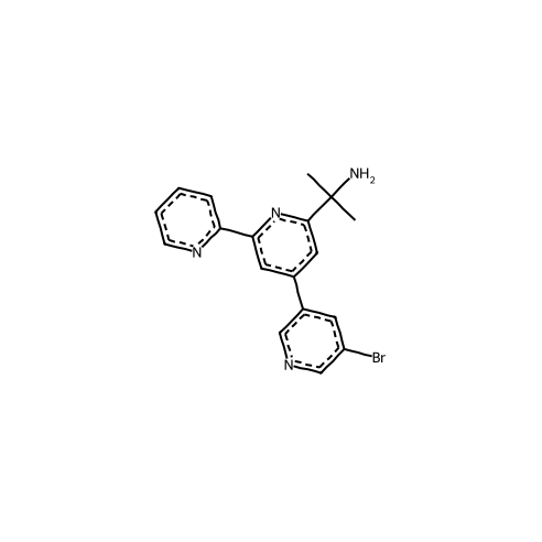 CC(C)(N)c1cc(-c2cncc(Br)c2)cc(-c2ccccn2)n1